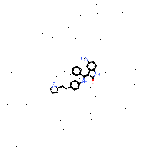 Nc1ccc2c(c1)/C(=C(/Nc1ccc(CCC3CCCN3)cc1)c1ccccc1)C(=O)N2